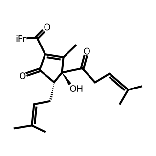 CC(C)=CCC(=O)[C@@]1(O)C(C)=C(C(=O)C(C)C)C(=O)[C@H]1CC=C(C)C